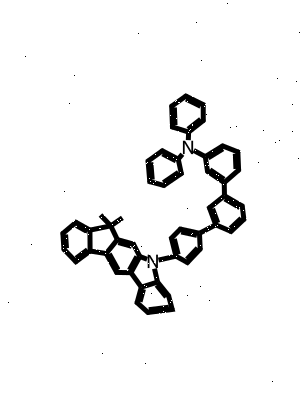 CC1(C)c2ccccc2-c2cc3c4ccccc4n(-c4ccc(-c5cccc(-c6cccc(N(c7ccccc7)c7ccccc7)c6)c5)cc4)c3cc21